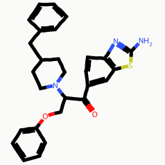 Nc1nc2ccc(C(=O)C(COc3ccccc3)N3CCC(Cc4ccccc4)CC3)cc2s1